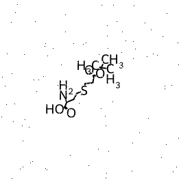 CC(C)(C)OC(=O)CCSCC[C@H](N)C(=O)O